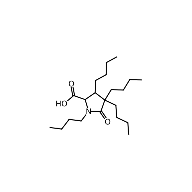 CCCCC1C(C(=O)O)N(CCCC)C(=O)C1(CCCC)CCCC